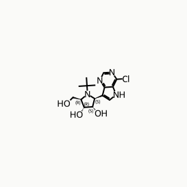 CC(C)(C)N1[C@H](CO)[C@@H](O)[C@@H](O)[C@@H]1c1c[nH]c2c(Cl)ncnc12